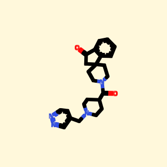 O=C1CC2(CCN(C(=O)C3CCN(Cc4ccnnc4)CC3)CC2)c2ccccc21